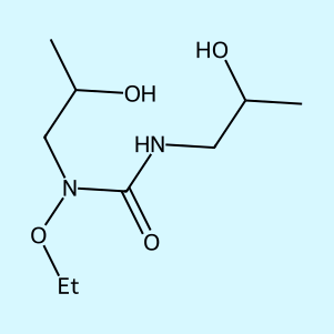 CCON(CC(C)O)C(=O)NCC(C)O